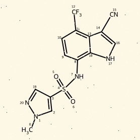 Cn1cc(S(=O)(=O)Nc2ccc(C(F)(F)F)c3c(C#N)c[nH]c23)cn1